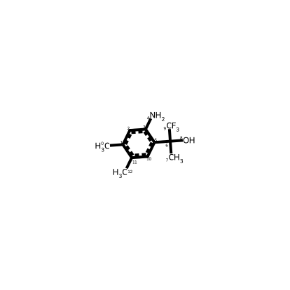 Cc1cc(N)c(C(C)(O)C(F)(F)F)cc1C